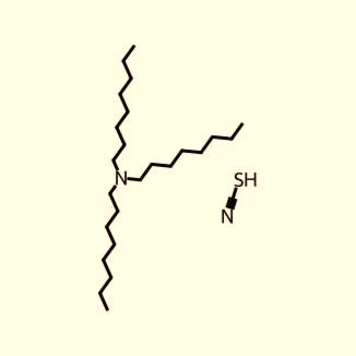 CCCCCCCCN(CCCCCCCC)CCCCCCCC.N#CS